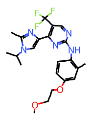 COCCOc1ccc(Nc2ncc(C(F)(F)F)c(-c3cn(C(C)C)c(C)n3)n2)c(C)c1